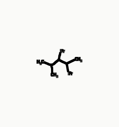 CC(C)C(C)C(C(C)C)P(C)C